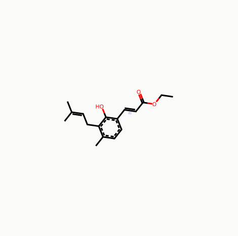 CCOC(=O)/C=C/c1ccc(C)c(CC=C(C)C)c1O